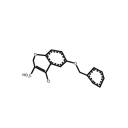 O=C(O)C1=C(Cl)c2cc(OCc3ccccc3)ccc2OC1